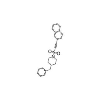 O=S(=O)(C#Cc1ccc2ccccc2c1)N1CCC(Cc2ccccc2)CC1